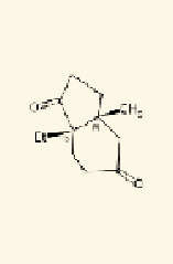 CC[C@]12CCC(=O)C[C@@]1(C)CCC2=O